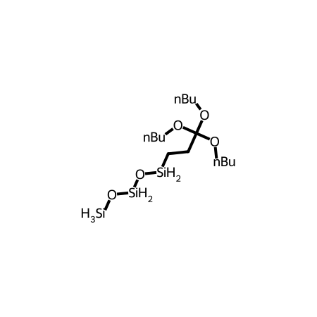 CCCCOC(CC[SiH2]O[SiH2]O[SiH3])(OCCCC)OCCCC